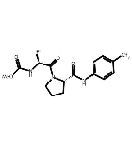 COC(=O)N[C@H](C(=O)N1CCC[C@H]1C(=O)Nc1ccc(C)cc1)C(C)C